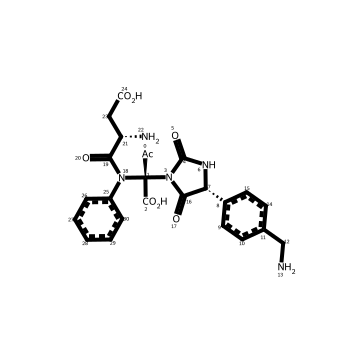 CC(=O)[C@](C(=O)O)(N1C(=O)N[C@H](c2ccc(CN)cc2)C1=O)N(C(=O)[C@@H](N)CC(=O)O)c1ccccc1